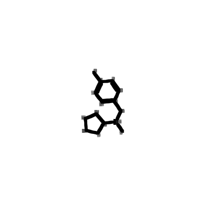 Cc1ccc(CN(C)C2CCCC2)cc1